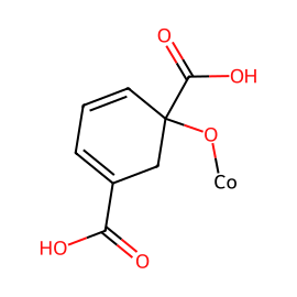 O=C(O)C1=CC=CC([O][Co])(C(=O)O)C1